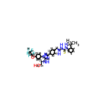 CC(C)c1ccccc1NC(=S)NNCc1ccc(-c2nc(NCCO)n(-c3ccc(OC(F)(F)C(F)(F)F)cc3)n2)cc1